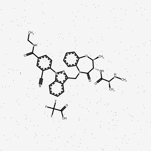 CCNC(=O)c1ccc(-n2nc(CN3C(=O)[C@@H](NC(=O)[C@H](C)NC)[C@H](C)Oc4ccccc43)c3ccccc32)c(C#N)c1.O=C(O)C(F)(F)F